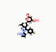 CC(C)c1nn(-c2ccc[nH]2)c(-c2ccc(F)cc2)c1CC[C@@H]1C[C@@H](O)CC(=O)O1